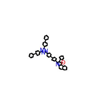 c1ccc(-c2ccc(-c3nc(-c4ccc(-c5ccccc5)cc4)nc(-c4ccc(-c5ccc(-c6nc7ccc8ccccc8c7c7oc8ccccc8c67)cc5)cc4)n3)cc2)cc1